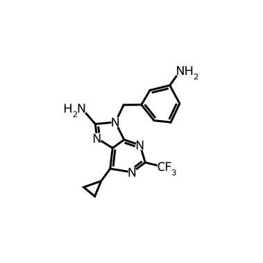 Nc1cccc(Cn2c(N)nc3c(C4CC4)nc(C(F)(F)F)nc32)c1